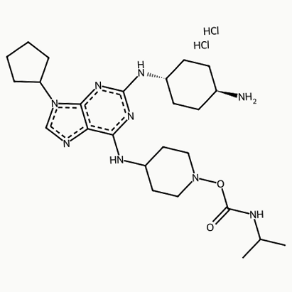 CC(C)NC(=O)ON1CCC(Nc2nc(N[C@H]3CC[C@H](N)CC3)nc3c2ncn3C2CCCC2)CC1.Cl.Cl